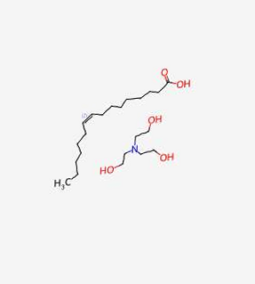 CCCCCC/C=C\CCCCCCCC(=O)O.OCCN(CCO)CCO